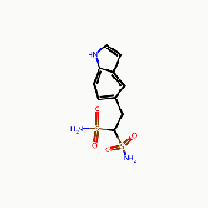 NS(=O)(=O)C(Cc1ccc2[nH]ccc2c1)S(N)(=O)=O